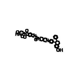 O=C1CCC(N2C(=O)c3cc4c(cc3C2=O)CN(CC(=O)N2CCC3(CC2)CCN(c2ccc([C@@H]5c6ccc(O)cc6CC[C@@H]5c5ccccc5)cc2)CC3)C4)C(=O)N1